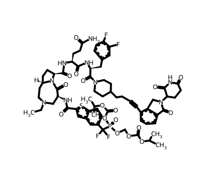 CCN1CC[C@H]2CC[C@@H](C(=O)N[C@@H](CCC(N)=O)C(=O)N[C@@H](Cc3ccc(F)c(F)c3)C(=O)N3CCC(CCC#Cc4cccc5c4CN(C4CCC(=O)NC4=O)C5=O)CC3)N2C(=O)[C@@H](NC(=O)c2cc3cc(C(F)(F)P(=O)(OCOC(=O)OC(C)C)OC(=O)OC(C)C)ccc3s2)C1